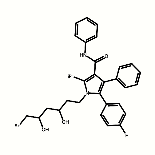 CC(=O)CC(O)CC(O)CCn1c(-c2ccc(F)cc2)c(-c2ccccc2)c(C(=O)Nc2ccccc2)c1C(C)C